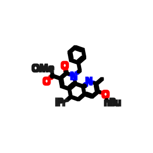 CCCCOc1cc2c(nc1C)-c1c(cc(C(=O)OC)c(=O)n1Cc1ccccc1)C(C(C)C)C2